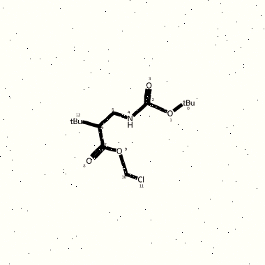 CC(C)(C)OC(=O)NCC(C(=O)OCCl)C(C)(C)C